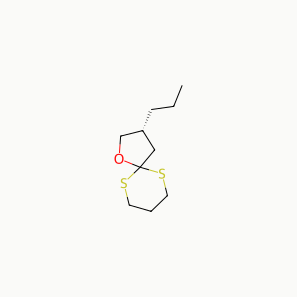 CCC[C@H]1COC2(C1)SCCCS2